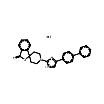 Cl.O=C1OC2(CCN(c3nc(-c4ccc(-c5ccccc5)cc4)c[nH]3)CC2)c2ccccc21